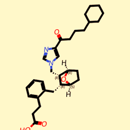 O=C(O)CCc1ccccc1C[C@@H]1[C@H](Cn2cnc(C(=O)CCCC3CCCCC3)c2)[C@H]2CC[C@@H]1O2